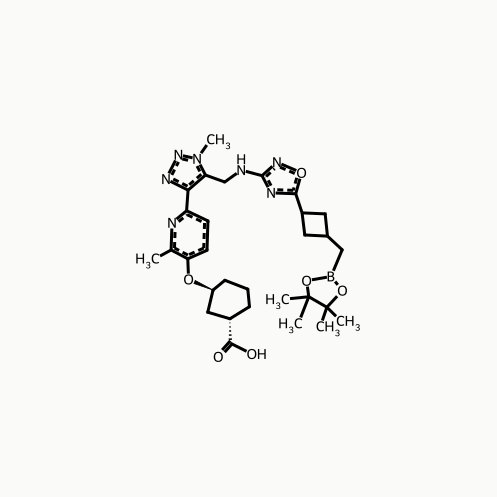 Cc1nc(-c2nnn(C)c2CNc2noc(C3CC(CB4OC(C)(C)C(C)(C)O4)C3)n2)ccc1O[C@H]1CCC[C@H](C(=O)O)C1